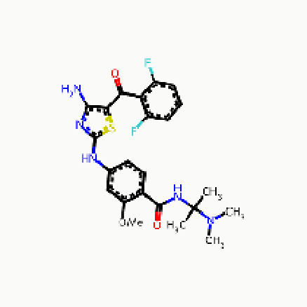 COc1cc(Nc2nc(N)c(C(=O)c3c(F)cccc3F)s2)ccc1C(=O)NC(C)(C)N(C)C